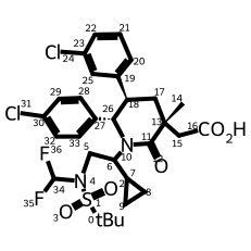 CC(C)(C)S(=O)(=O)N(CC(C1CC1)N1C(=O)[C@@](C)(CC(=O)O)C[C@H](c2cccc(Cl)c2)[C@H]1c1ccc(Cl)cc1)C(F)F